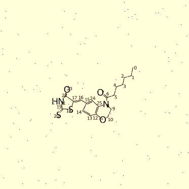 CCCCCCC(=O)N1CCOc2ccc(/C=C3\SC(=S)NC3=O)cc21